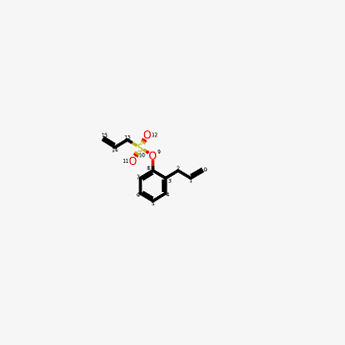 C=CCc1ccccc1OS(=O)(=O)CC=C